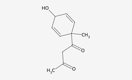 CC(=O)CC(=O)C1(C)C=CC(O)C=C1